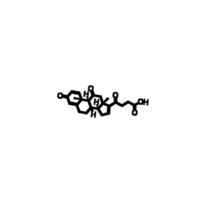 C[C@]12C=CC(=O)C=C1CC[C@@H]1[C@@H]2C(=O)C[C@]2(C)C(C(=O)CCC(=O)O)=CC[C@@H]12